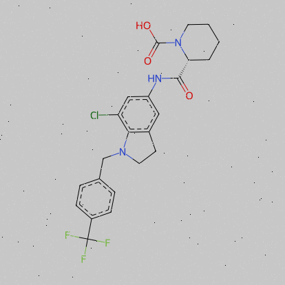 O=C(Nc1cc(Cl)c2c(c1)CCN2Cc1ccc(C(F)(F)F)cc1)[C@H]1CCCCN1C(=O)O